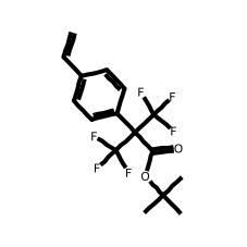 C=Cc1ccc(C(C(=O)OC(C)(C)C)(C(F)(F)F)C(F)(F)F)cc1